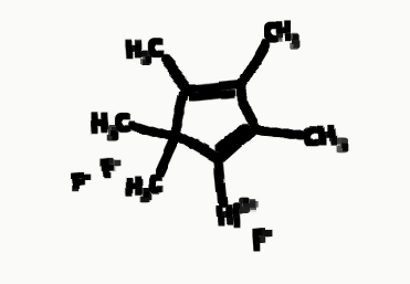 CC1=C(C)C(C)(C)[C]([Hf+3])=C1C.[F-].[F-].[F-]